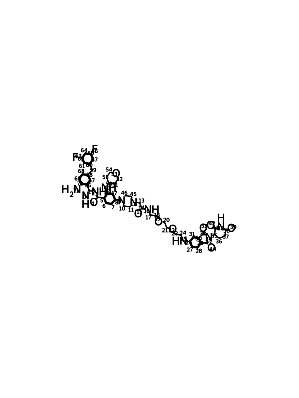 N=C(NC(=O)c1ccc(N2CCN(CC(=O)NCCOCCOCCNc3ccc4c(c3)C(=O)N(C3CCC(=O)NC3=O)C4=O)CC2)cc1NC1CCOCC1)c1cc(Cc2cc(F)cc(F)c2)ccc1N